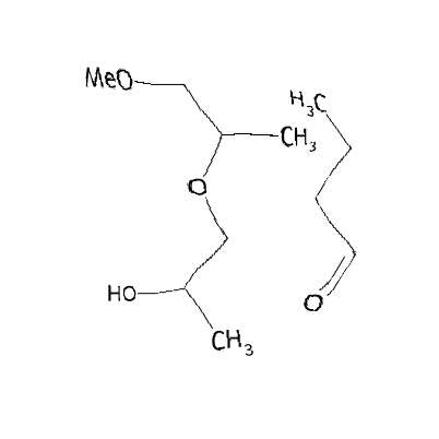 CCCC=O.COCC(C)OCC(C)O